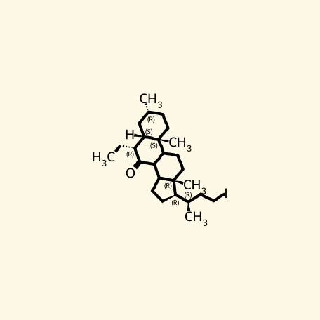 CC[C@H]1C(=O)C2C3CC[C@H]([C@H](C)CCI)[C@@]3(C)CCC2[C@@]2(C)CC[C@@H](C)C[C@@H]12